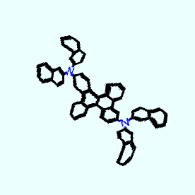 c1ccc2cc(N(c3ccc4ccccc4c3)c3ccc4c(c3)c3ccccc3c3c5ccc(N(c6ccc7ccccc7c6)c6ccc7ccccc7c6)cc5c5ccccc5c43)ccc2c1